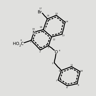 O=C(O)c1cc(OCc2ccccc2)c2cccc(Br)c2n1